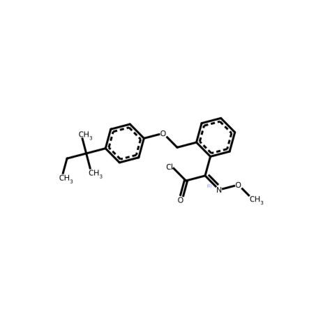 CCC(C)(C)c1ccc(OCc2ccccc2/C(=N\OC)C(=O)Cl)cc1